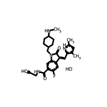 C#CCNC(=O)c1cc2c(cc1F)/C(=C/c1[nH]c(C)cc1C)C(=O)N2CC1CCC(NC)CC1.Cl